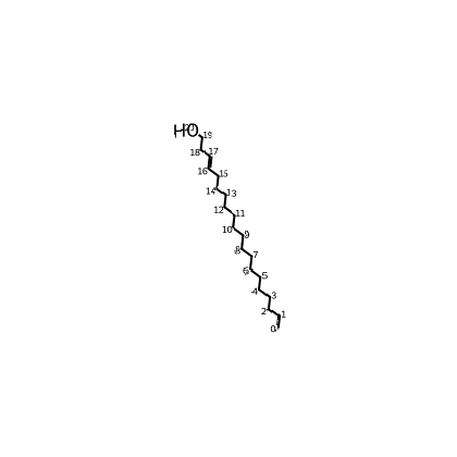 CCCCCCCCCCCCCCCC/C=C/CCO